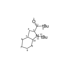 CC(C)(C)C(=O)C1CC2CCCCC2N1C(C)(C)C